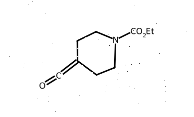 CCOC(=O)N1CCC(=C=O)CC1